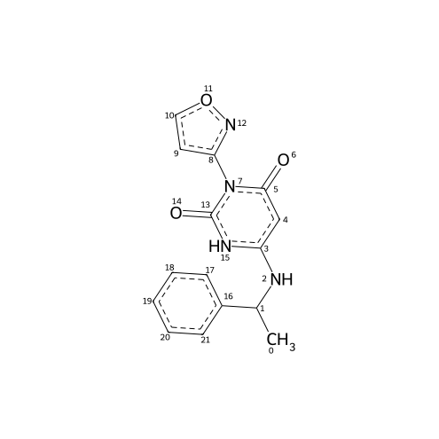 CC(Nc1cc(=O)n(-c2ccon2)c(=O)[nH]1)c1ccccc1